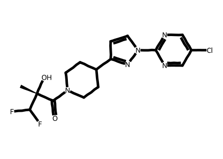 C[C@@](O)(C(=O)N1CCC(c2ccn(-c3ncc(Cl)cn3)n2)CC1)C(F)F